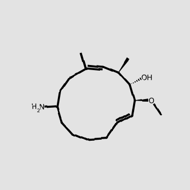 CO[C@H]1/C=C/CCCCC(N)CC/C(C)=C\[C@@H](C)[C@@H]1O